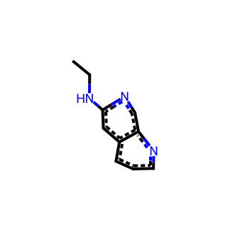 CCNc1cc2cccnc2cn1